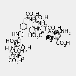 CC(C)C[C@H](N)C(=O)O.C[C@H](N)C(=O)O.NC(=O)C[C@H](N)C(=O)O.N[C@@H](CC(=O)O)C(=O)O.N[C@@H](Cc1ccccc1)C(=O)O.N[C@@H](Cc1ccccc1)C(=O)O.O=C(O)[C@@H]1CCCN1.O=C(O)[C@@H]1CCCN1